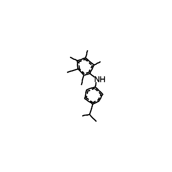 Cc1c(C)c(C)c(Nc2ccc(C(C)C)cc2)c(C)c1C